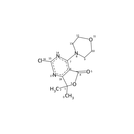 CC1(C)OC(=O)c2c(N3CCOCC3)nc(Cl)nc21